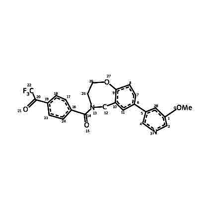 COc1cncc(-c2ccc3c(c2)CN(C(=O)c2ccc(C(=O)C(F)(F)F)cc2)CCO3)c1